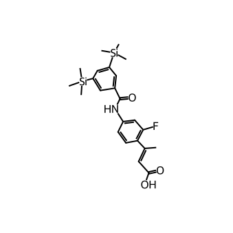 C/C(=C\C(=O)O)c1ccc(NC(=O)c2cc([Si](C)(C)C)cc([Si](C)(C)C)c2)cc1F